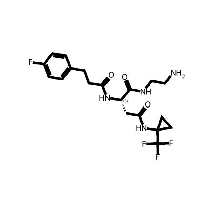 NCCNC(=O)[C@H](CC(=O)NC1(C(F)(F)F)CC1)NC(=O)CCc1ccc(F)cc1